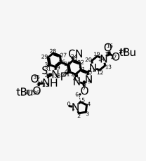 CN1CCC[C@H]1COc1nc(N2CCN(C(=O)OC(C)(C)C)CC2)c2cc(C#N)c(-c3cccc4sc(NC(=O)OC(C)(C)C)nc34)c(F)c2n1